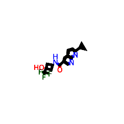 O=C(N[C@H]1C[C@](O)(C(F)(F)F)C1)c1cnc2nc(C3CC3)ccc2c1